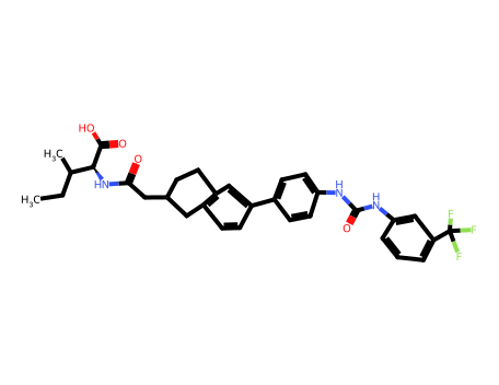 CCC(C)[C@H](NC(=O)CC1CCc2cc(-c3ccc(NC(=O)Nc4cccc(C(F)(F)F)c4)cc3)ccc2C1)C(=O)O